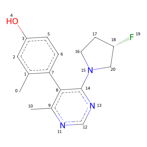 Cc1cc(O)ccc1-c1c(C)ncnc1N1CC[C@H](F)C1